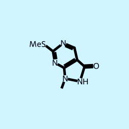 CSc1ncc2c(=O)[nH]n(C)c2n1